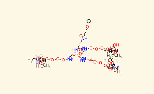 CC(=O)N[C@H]1[C@H]2OC[C@](COCCOCCOCCOCCn3cc(COCC(COCc4cn(CCOCCOCCOCCOC[C@@]56CO[C@@H](O5)[C@H](NC(C)=O)[C@H]5OC(C)(C)O[C@H]56)nn4)(COCc4cn(CCOCCOCCOCCOC[C@@]5(C)O[C@H](O)C[C@H]6OC(C)(C)O[C@H]65)nn4)NC(=O)CCCCCNC(=O)CCCCCOCc4ccccc4)nn3)(O2)[C@@H]2OC(C)(C)O[C@H]12